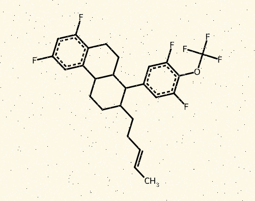 CC=CCCC1CCC2c3cc(F)cc(F)c3CCC2C1c1cc(F)c(OC(F)(F)F)c(F)c1